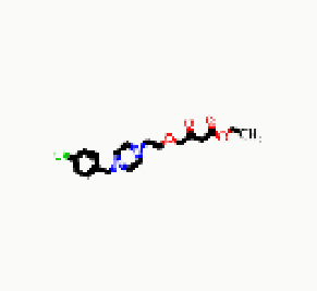 CCOC(=O)CC(=O)COCCN1CCN(Cc2ccc(Cl)cc2)CC1